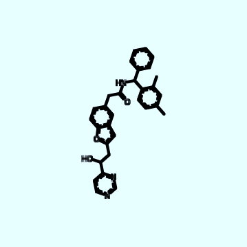 Cc1ccc(C(NC(=O)Cc2ccc3oc(CC(O)c4ccncn4)cc3c2)c2ccccc2)c(C)c1